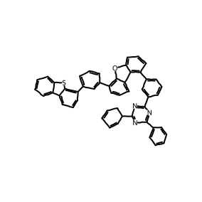 C1=CCC(c2nc(-c3ccccc3)nc(-c3cccc(-c4cccc5oc6c(-c7cccc(-c8cccc9c8sc8ccccc89)c7)cccc6c45)c3)n2)C=C1